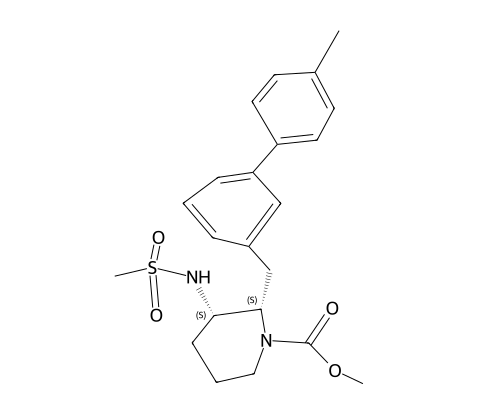 COC(=O)N1CCC[C@H](NS(C)(=O)=O)[C@@H]1Cc1cccc(-c2ccc(C)cc2)c1